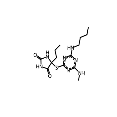 CCCCNc1nc(NC)nc(SC2(CCC)NC(=O)NC2=O)n1